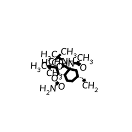 C=C[C@@H]1CC[C@H](C(CC(C)(C)C)OC(N)=O)[C@@](NC(C)=O)(C(=O)NC(C)(C)C)C1